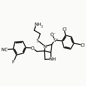 N#Cc1ccc(OCC23CNC2C([S+]([O-])c2ccc(Cl)cc2Cl)N3SCCN)cc1F